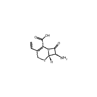 C=CC1=C(C(=O)O)N2C(=O)C(N)[C@@H]2SC1